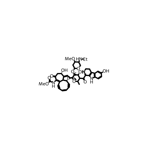 CCNC1COC(OC2C(O[C@H]3C#C/C=C\C#CC4=C(NC(=O)OC)C(=O)C[C@H](O)/C(=C/CS(C)=S)C43)OC(C)C(C(=O)C3=NCCc4c3[nH]c3ccc(O)cc43)C2O)CC1OC